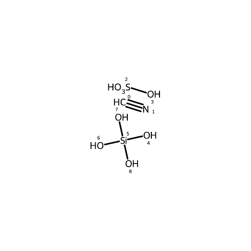 C#N.O=S(=O)(O)O.O[Si](O)(O)O